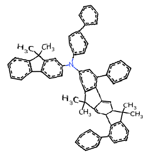 CC1(C)C2=CC3c4c(-c5ccccc5)cccc4C(C)(C)C3C=C2c2c(-c3ccccc3)cc(N(c3ccc(-c4ccccc4)cc3)c3ccc4c(c3)C(C)(C)c3ccccc3-4)cc21